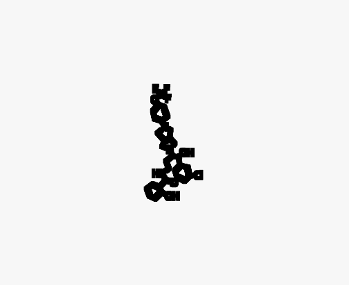 O=C(NCCC(C(O)c1cccc(Cl)c1)N1CC2=C(CN(c3ccc(OC(F)(F)F)cc3)C2)C1)c1ccccc1O